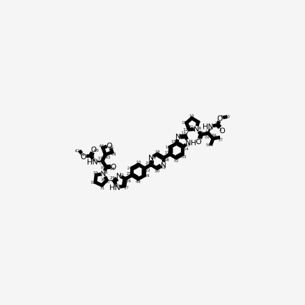 COC(=O)N[C@H](C(=O)N1CCC[C@H]1c1nc2cc(-c3cnc(-c4ccc(-c5c[nH]c([C@@H]6CCCN6C(=O)[C@@H](NC(=O)OC)C6COC6)n5)cc4)cn3)ccc2[nH]1)C(C)C